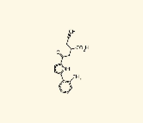 C#CCC(CC(=O)c1ccc(-c2ccccc2C)[nH]1)C(=O)O